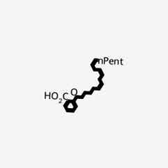 CCCCC/C=C\C/C=C\C/C=C\CCCCC(=O)c1ccccc1C(=O)O